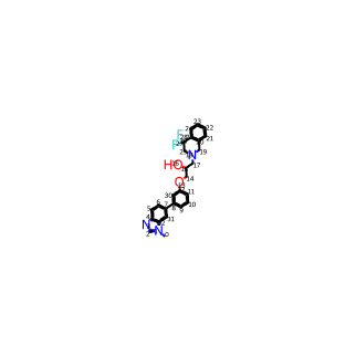 Cn1cnc2ccc(-c3cccc(OCC(O)CN4Cc5ccccc5C(F)(F)C4)c3)cc21